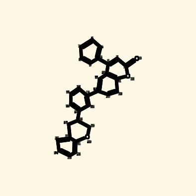 O=c1cc(-c2ccccc2)c2cc(-c3cccc(C4COc5ccccc5C4)c3)ccc2o1